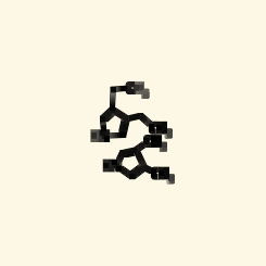 CCc1c[nH]cc1CC.Cc1c[nH]cc1C